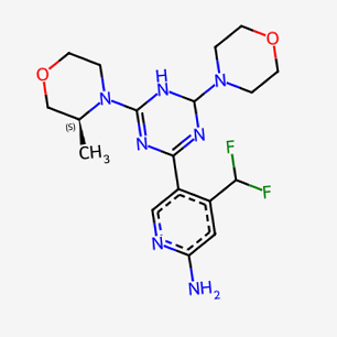 C[C@H]1COCCN1C1=NC(c2cnc(N)cc2C(F)F)=NC(N2CCOCC2)N1